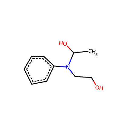 CC(O)N(CCO)c1ccccc1